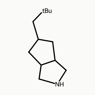 CC(C)(C)CC1CC2CNCC2C1